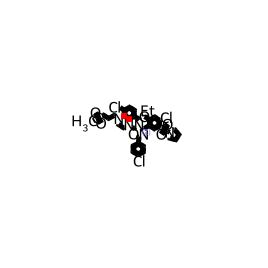 CCOc1cc(Cl)c(S(=O)(=O)N2CCCC2)cc1/C(=N/Cc1ccc(Cl)cc1)N(Cc1ccc(Cl)cc1)C(=O)N1CCN(CCCS(C)(=O)=O)CC1